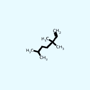 C=CC(C)(C)CCC(C)C